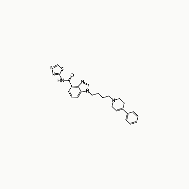 O=C(Nc1nncs1)c1cccc2c1ncn2CCCCN1CC=C(c2ccccc2)CC1